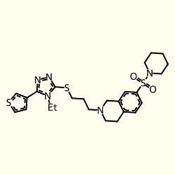 CCn1c(SCCCN2CCc3ccc(S(=O)(=O)N4CCCCC4)cc3C2)nnc1-c1ccsc1